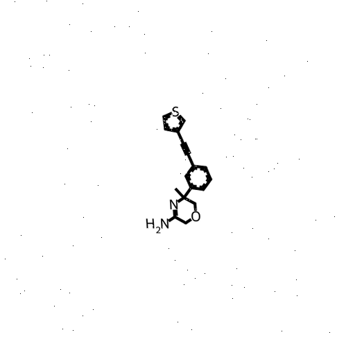 CC1(c2cccc(C#Cc3ccsc3)c2)COCC(N)=N1